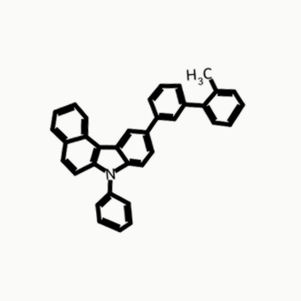 Cc1ccccc1-c1cccc(-c2ccc3c(c2)c2c4ccccc4ccc2n3-c2ccccc2)c1